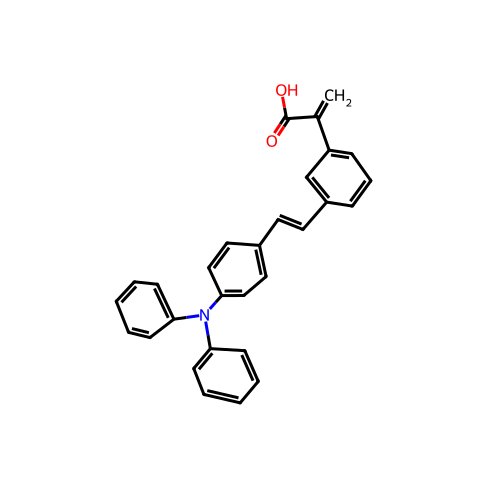 C=C(C(=O)O)c1cccc(C=Cc2ccc(N(c3ccccc3)c3ccccc3)cc2)c1